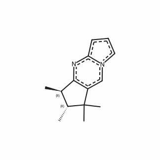 C[C@@H]1[C@@H](C)c2nc3cccn3cc2C1(C)C